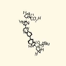 CC(C)(C)OC(=O)N1[C@@H]2C[C@H]2C[C@H]1c1nc2cc(-c3ccc4nc(-c5c[nH]c([C@@H]6C[C@H]7C[C@H]7N6C(=O)O)n5)cnc4c3)ccc2[nH]1